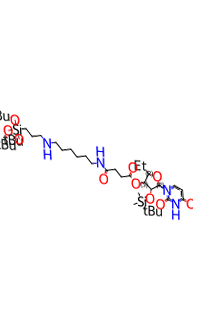 CC[C@H]1O[C@@H](n2ccc(=O)[nH]c2=O)C(O[Si](C)(C)C(C)(C)C)[C@H]1OC(=O)CCC(=O)NCCCCCCNCCC[Si](OC(C)(C)C)(OC(C)(C)C)OC(C)(C)C